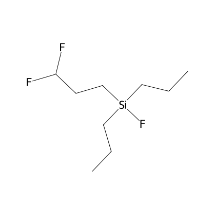 CCC[Si](F)(CCC)CCC(F)F